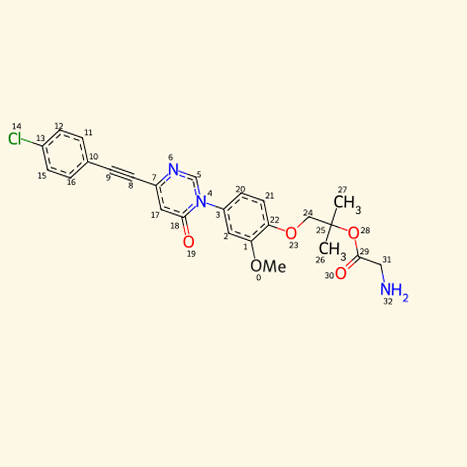 COc1cc(-n2cnc(C#Cc3ccc(Cl)cc3)cc2=O)ccc1OCC(C)(C)OC(=O)CN